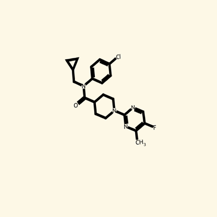 Cc1nc(N2CCC(C(=O)N(CC3CC3)c3ccc(Cl)cc3)CC2)ncc1F